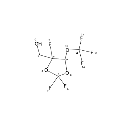 OCC1(F)OC(F)(F)OC1OC(F)(F)F